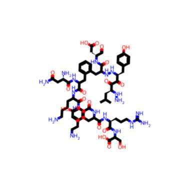 CC(C)C[C@H](NN)C(=O)C(=O)[C@H](Cc1ccc(O)cc1)NNC(Cc1ccccc1CC(NC(=O)[C@@H](N)CC(N)=O)C(=O)NC(CCCCN)C(=O)N[C@@H](CCCCN)C(=O)NC(Cc1ccc(O)cc1)C(=O)N[C@@H](CCCNC(=N)N)C(=O)NC(CO)C(=O)O)C(=O)N[C@@H](C=O)CC(=O)O